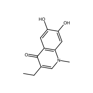 CCc1cn(C)c2cc(O)c(O)cc2c1=O